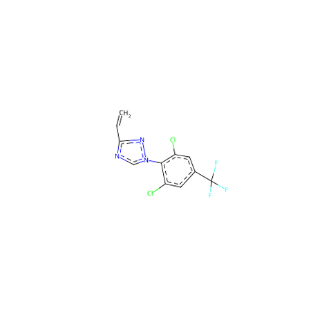 C=Cc1ncn(-c2c(Cl)cc(C(F)(F)F)cc2Cl)n1